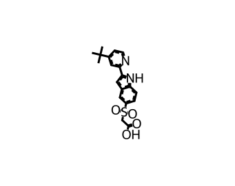 CC(C)(C)c1ccnc(-c2cc3cc(S(=O)(=O)CC(=O)O)ccc3[nH]2)c1